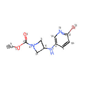 CC(C)(C)OC(=O)N1CC(Nc2ccc(Br)nc2)C1